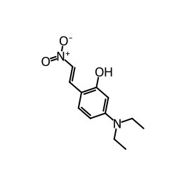 CCN(CC)c1ccc(C=C[N+](=O)[O-])c(O)c1